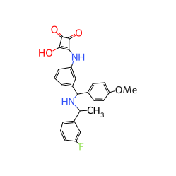 COc1ccc(C(NC(C)c2cccc(F)c2)c2cccc(Nc3c(O)c(=O)c3=O)c2)cc1